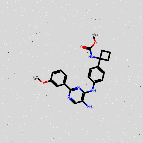 CC(C)(C)OC(=O)NC1(c2ccc(Nc3nc(-c4cccc(OC(F)(F)F)c4)ncc3N)cc2)CCC1